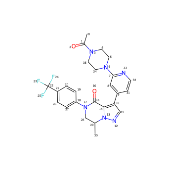 CC(=O)N1CCN(c2cc(-c3cnn4c3C(=O)N(c3ccc(C(F)(F)F)cc3)CC4C)ccn2)CC1